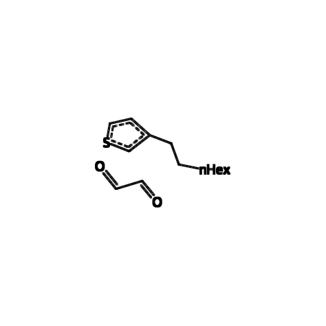 CCCCCCCCc1ccsc1.O=CC=O